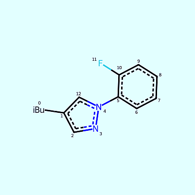 CCC(C)c1cnn(-c2ccccc2F)c1